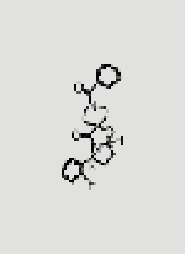 O=C(c1ccccc1)N1CCC2(CC1)O[C@@H]1CC[C@@H](c3ccccc3F)N1C2=O